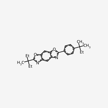 CCC(C)(C)c1ccc(-c2nc3cc4nc(C(C)(CC)CC)oc4cc3o2)cc1